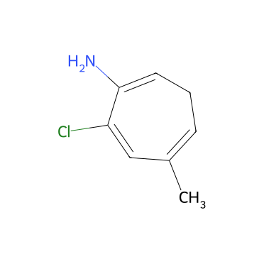 CC1=CCC=C(N)C(Cl)=C1